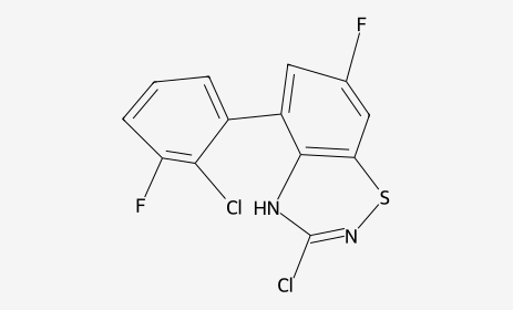 Fc1cc2c(c(-c3cccc(F)c3Cl)c1)NC(Cl)=NS2